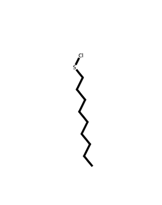 CCCCCCCCCSCl